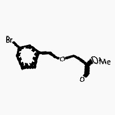 COC(=O)COCc1cccc(Br)c1